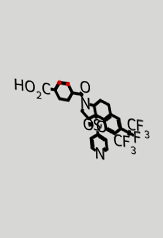 O=C(O)C12CCC(C(=O)N3CCC4(S(=O)(=O)c5ccncc5)c5ccc(C(F)(C(F)(F)F)C(F)(F)F)cc5CCC34)(CC1)CC2